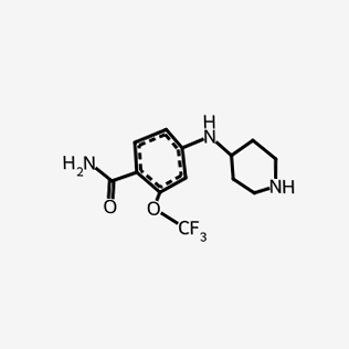 NC(=O)c1ccc(NC2CCNCC2)cc1OC(F)(F)F